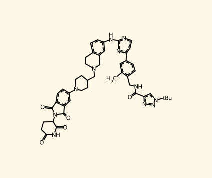 Cc1cc(-c2ccnc(Nc3ccc4c(c3)CN(CC3CCN(c5ccc6c(c5)C(=O)N(C5CCC(=O)NC5=O)C6=O)CC3)CC4)n2)ccc1CNC(=O)c1cn(C(C)(C)C)nn1